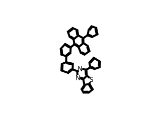 c1ccc(-c2c3ccccc3c(-c3cccc(-c4cccc(-c5nc(-c6ccccc6)c6sc7ccccc7c6n5)c4)c3)c3ccccc23)cc1